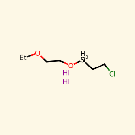 CCOCCO[SiH2]CCCl.I.I